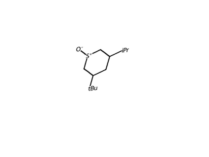 CC(C)C1CC(C(C)(C)C)C[S+]([O-])C1